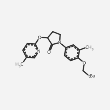 Cc1ccc(OC2CCN(c3ccc(OCC(C)(C)C)c(C)c3)C2=O)nc1